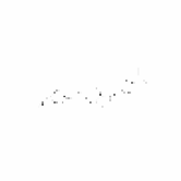 [2H]C([2H])(c1ccc(C(F)F)cc1)N1CC[C@H](N2CCC(c3ccc4[nH]c(=O)oc4c3)CC2)C1=O